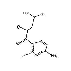 CCC(CN(C)C)C(=N)c1ccc(N)cc1F